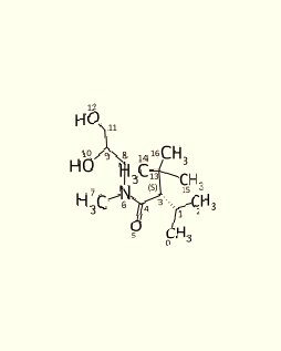 CC(C)[C@H](C(=O)N(C)CC(O)CO)C(C)(C)C